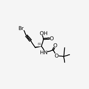 CC(C)(C)OC(=O)N[C@@H](CC#CBr)C(=O)O